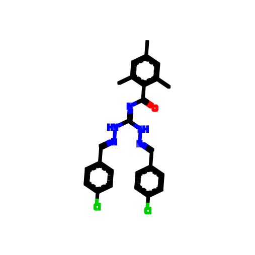 Cc1cc(C)c(C(=O)N=C(NN=Cc2ccc(Cl)cc2)NN=Cc2ccc(Cl)cc2)c(C)c1